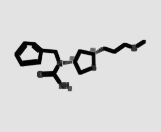 COCCC[C@H]1C[C@@H](N(Cc2ccccc2)C(N)=O)CS1